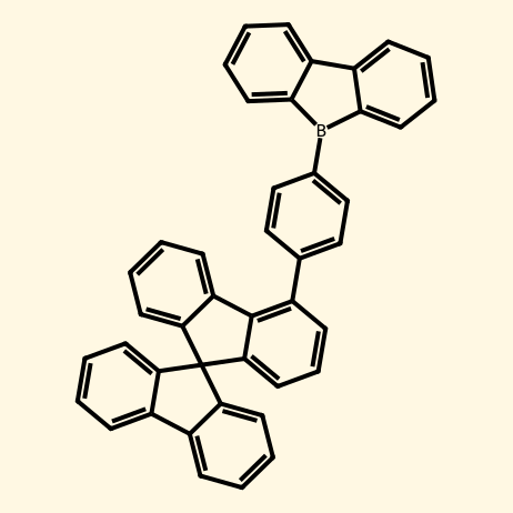 c1ccc2c(c1)B(c1ccc(-c3cccc4c3-c3ccccc3C43c4ccccc4-c4ccccc43)cc1)c1ccccc1-2